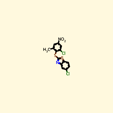 Cc1cc([N+](=O)[O-])cc(Cl)c1Sc1nc2cc(Cl)ccc2s1